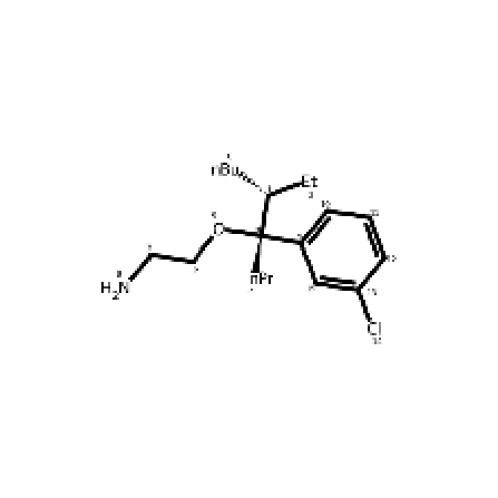 CCCC[C@H](CC)[C@@](CCC)(OCCN)c1cccc(Cl)c1